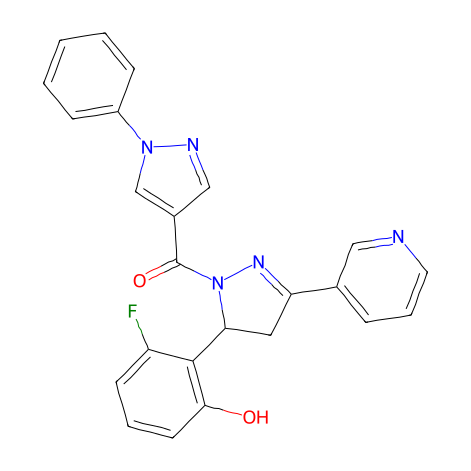 O=C(c1cnn(-c2ccccc2)c1)N1N=C(c2cccnc2)CC1c1c(O)cccc1F